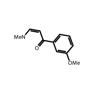 CN/C=C\C(=O)c1cccc(OC)c1